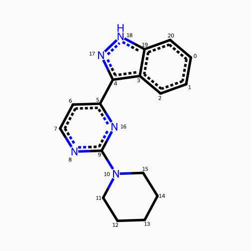 c1ccc2c(-c3ccnc(N4CCCCC4)n3)n[nH]c2c1